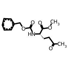 COC(=O)[C@H](CCC(C)=O)NC(=O)OCc1ccccc1